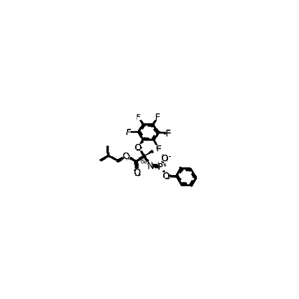 CC(C)COC(=O)[C@@](C)(N=[P+]([O-])Oc1ccccc1)Oc1c(F)c(F)c(F)c(F)c1F